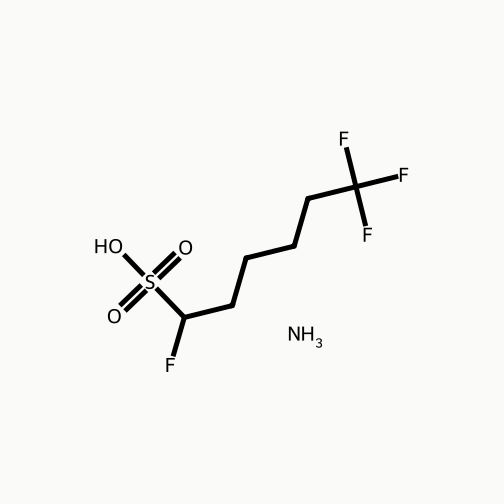 N.O=S(=O)(O)C(F)CCCCC(F)(F)F